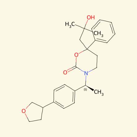 C[C@@H](c1ccc(C2CCOC2)cc1)N1CCC(CC(C)(C)O)(c2ccccc2)OC1=O